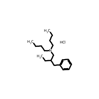 CCCCN(CCCC)CC(CC)Cc1ccccc1.Cl